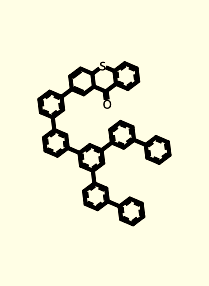 O=C1c2ccccc2SC2C=CC(c3cccc(-c4cccc(-c5cc(-c6cccc(-c7ccccc7)c6)cc(-c6cccc(-c7ccccc7)c6)c5)c4)c3)=CC12